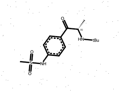 C[C@H](NC(C)(C)C)C(=O)c1ccc(NS(C)(=O)=O)cc1